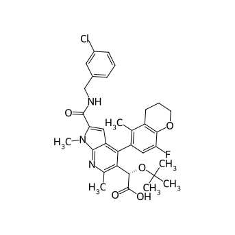 Cc1nc2c(cc(C(=O)NCc3cccc(Cl)c3)n2C)c(-c2cc(F)c3c(c2C)CCCO3)c1[C@H](OC(C)(C)C)C(=O)O